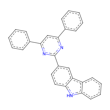 c1ccc(-c2cc(-c3ccccc3)nc(-c3ccc4[nH]c5ccccc5c4c3)n2)cc1